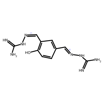 N=C(N)N/N=C\c1cc(/C=N/NC(=N)N)ccc1O